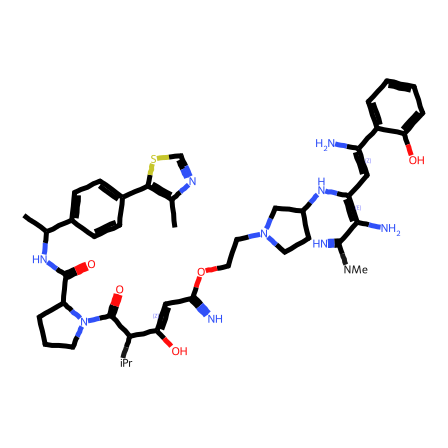 CNC(=N)/C(N)=C(/C=C(\N)c1ccccc1O)NC1CCN(CCOC(=N)/C=C(\O)C(C(=O)N2CCCC2C(=O)NC(C)c2ccc(-c3scnc3C)cc2)C(C)C)C1